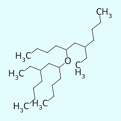 CCCCC(CC)CC(CCCC)OC(CCCC)CC(CC)CCCC